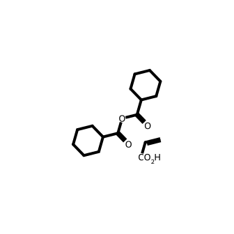 C=CC(=O)O.O=C(OC(=O)C1CCCCC1)C1CCCCC1